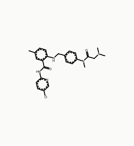 Cc1ccc(NCc2ccc(N(C)C(=O)CN(C)C)cc2)c(C(=O)Nc2ccc(Cl)cn2)c1